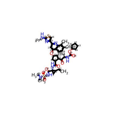 C=CC1C[C@]1(NC(=O)C1C[C@@H](Oc2cc(-c3csc(NC(C)C)n3)nc3c(C)c(OC)ccc23)CC1C(=O)[C@@H](NC(=O)OC1CCCC1)C(C)(C)C)C(=O)NS(=O)(=O)N(C)C